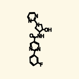 O=C(N[C@H]1CN(c2ncccn2)C[C@H]1O)c1cnc(-c2cccc(F)c2)nc1